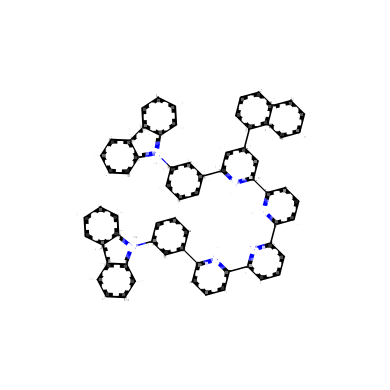 c1cc(-c2cccc(-c3cccc(-c4cccc(-c5cc(-c6cccc7ccccc67)cc(-c6cccc(-n7c8ccccc8c8ccccc87)c6)n5)n4)n3)n2)cc(-n2c3ccccc3c3ccccc32)c1